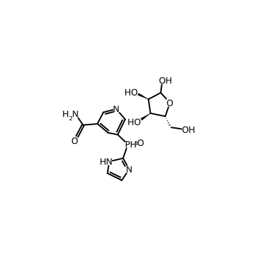 NC(=O)c1cncc([PH](=O)c2ncc[nH]2)c1.OC[C@H]1OC(O)[C@H](O)[C@@H]1O